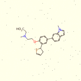 CN(CCOc1ccc(-c2ccc3ccn(C)c3c2)cc1C1CC=CS1)CC(=O)O